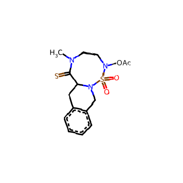 CC(=O)ON1CCN(C)C(=S)C2Cc3ccccc3CN2S1(=O)=O